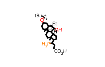 CC[C@@H]1C2CC(O[Si](C)(C)C(C)(C)C)CCC2(C)[C@H]2CCC3(C)C([C@H](P)CCC(=O)O)CC[C@H]3C2[C@@H]1O